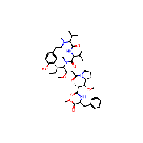 CC[C@H](C)C([C@@H](CC(=O)N1CCC[C@H]1[C@H](OC)[C@@H](C)C(=O)N[C@@H](Cc1ccccc1)C(=O)OC)OC)N(C)C(=O)[C@@H](NC(=O)C(C(C)C)N(C)CCc1ccc(O)cc1)C(C)C